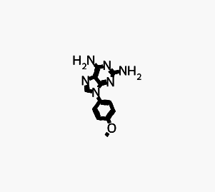 COc1ccc(-n2cnc3c(N)nc(N)nc32)cc1